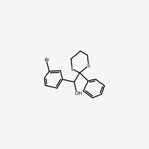 OC(c1cccc(Br)c1)C1(c2ccccc2)SCCCS1